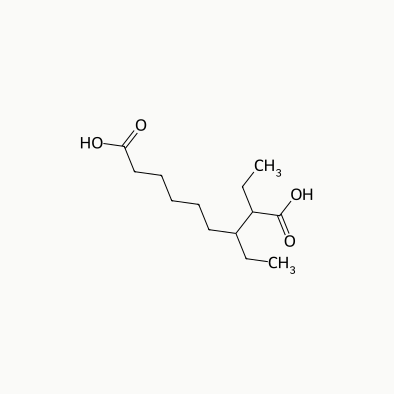 CCC(CCCCCC(=O)O)C(CC)C(=O)O